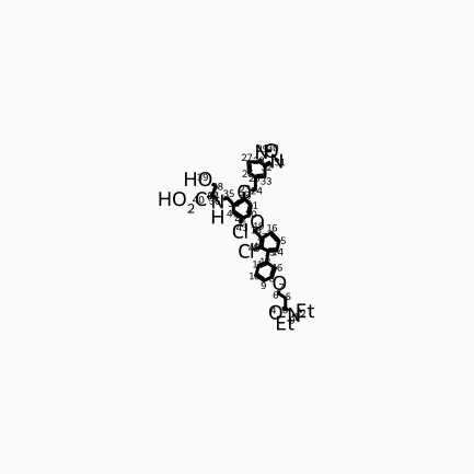 CCN(CC)C(=O)CCOc1cccc(-c2cccc(COc3cc(OCc4ccc5nonc5c4)c(CN[C@H](CO)C(=O)O)cc3Cl)c2Cl)c1